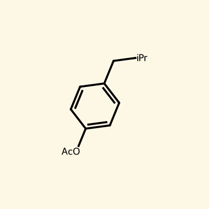 CC(=O)Oc1ccc(CC(C)C)cc1